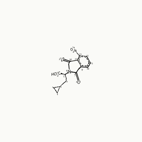 O=C(O)[C@H](CC1CC1)N1C(=O)c2cccc([N+](=O)[O-])c2C1=O